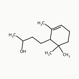 CC1=CCCC(C)(C)C1CCC(C)O